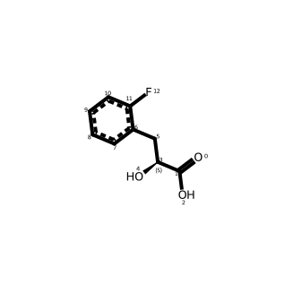 O=C(O)[C@@H](O)Cc1ccccc1F